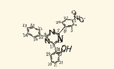 O=[N+]([O-])c1ccc(-c2nc(-c3ccccc3)nc(-c3ccccc3O)n2)cc1